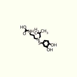 CC(C)CN(CCCNC(=O)O)Sc1ccc(O)c(O)c1